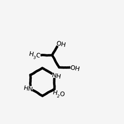 C1CNCCN1.CC(O)CO.O